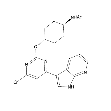 CC(=O)N[C@H]1CC[C@H](Oc2nc(Cl)cc(-c3c[nH]c4ncccc34)n2)CC1